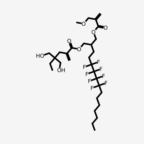 C=C(COC)C(=O)OCC(CCC(F)(F)C(F)(F)C(F)(F)C(F)(F)CCCCCCC)COC(=O)C(=C)CC(CC)(CO)CO